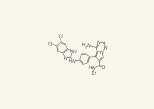 CCNC(=O)c1cn2ncnc(N)c2c1-c1ccc(Nc2nc3cc(Cl)c(Cl)cc3[nH]2)cc1